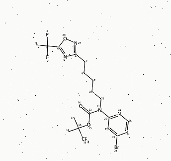 CC(F)(F)c1nc(CCCCCN(C(=O)OC(C)(C)C(F)(F)F)c2cc(Br)ccn2)no1